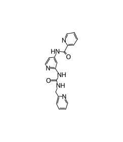 O=C(NCc1ccccn1)Nc1cc(NC(=O)c2ccccn2)ccn1